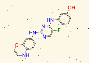 Oc1cccc(Nc2nc(Nc3ccc4c(c3)OC=CN4)ncc2F)c1